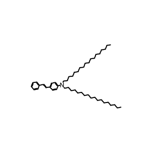 CCCCCCCCCCCCCCCCCCN(CCCCCCCCCCCCCCCCCC)c1ccc(C=Cc2ccccc2)cc1